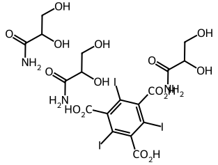 NC(=O)C(O)CO.NC(=O)C(O)CO.NC(=O)C(O)CO.O=C(O)c1c(I)c(C(=O)O)c(I)c(C(=O)O)c1I